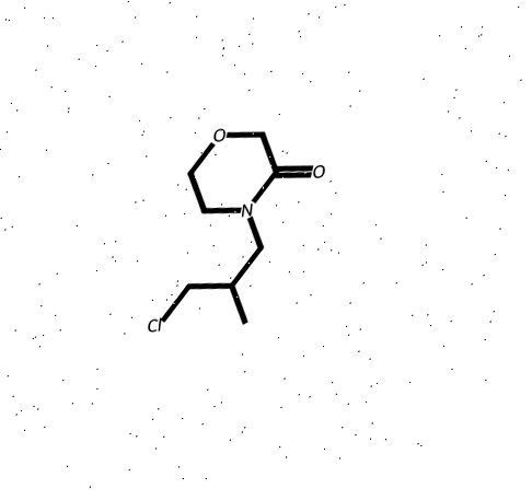 CC(CCl)CN1CCOCC1=O